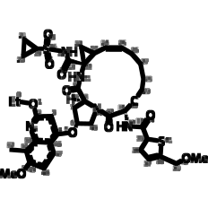 CCOc1cc(O[C@@H]2C[C@H]3C(=O)N[C@]4(C(=O)NS(=O)(=O)C5CC5)CC4/C=C\CCCCC[C@H](NC(=O)C4CC=C(COC)S4)C(=O)N3C2)c2ccc(OC)c(C)c2n1